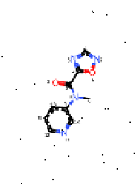 CN(C(=O)c1ncno1)c1cccnc1